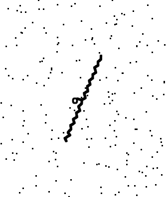 CCCCCCCCCCCCCCC(C=O)CCCCCCCCCCCCC